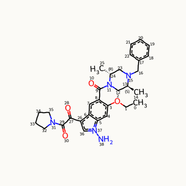 CCOc1cc2c(cc1C(=O)N1C[C@H](C)N(Cc3ccccc3)C[C@H]1C)c(C(=O)C(=O)N1CCCC1)cn2N